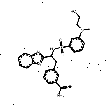 CN(CCO)c1cccc(S(=O)(=O)NC(Cc2cccc(C(=N)N)c2)c2nc3ccccc3s2)c1